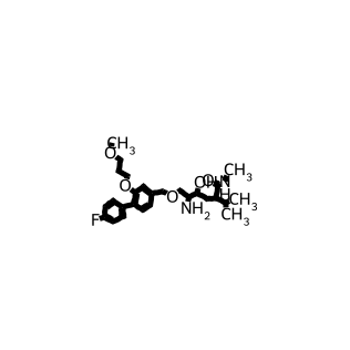 CNC(=O)C(CC(O)C(N)COCc1ccc(-c2ccc(F)cc2)c(OCCCOC)c1)C(C)C